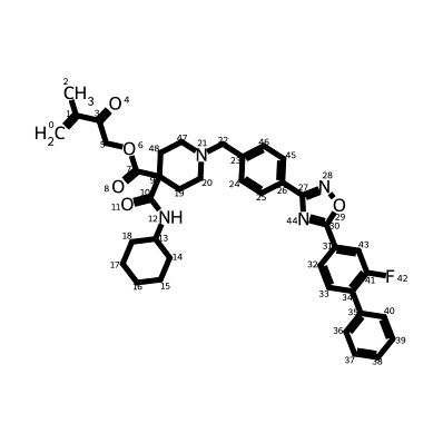 C=C(C)C(=O)COC(=O)C1(C(=O)NC2CCCCC2)CCN(Cc2ccc(-c3noc(-c4ccc(-c5ccccc5)c(F)c4)n3)cc2)CC1